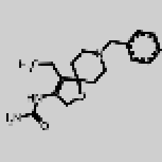 CCC1=C(NC(N)=O)COC12CCN(Cc1ccccc1)CC2